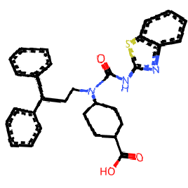 O=C(O)C1CCC(N(CCC(c2ccccc2)c2ccccc2)C(=O)Nc2nc3ccccc3s2)CC1